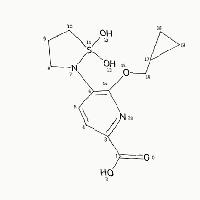 O=C(O)c1ccc(N2CCCS2(O)O)c(OCC2CC2)n1